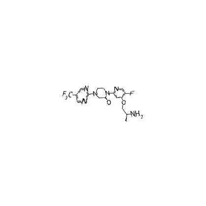 C[C@H](N)COc1cc(N2CCN(c3ncc(C(F)(F)F)cn3)CC2=O)ncc1F